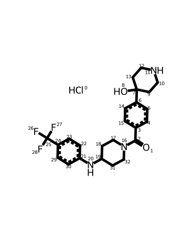 Cl.O=C(c1ccc(C2(O)CCNCC2)cc1)N1CCC(Nc2ccc(C(F)(F)F)cc2)CC1